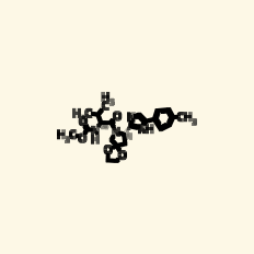 COC(=O)N[C@H](C(=O)N1CC2(C[C@H]1c1ncc(-c3ccc(C)cc3)[nH]1)OCCO2)C(C)C